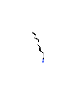 C=CC=CCC=CCC#N